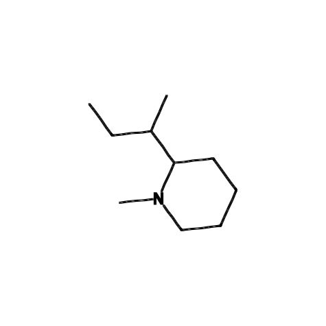 CCC(C)C1CCCCN1C